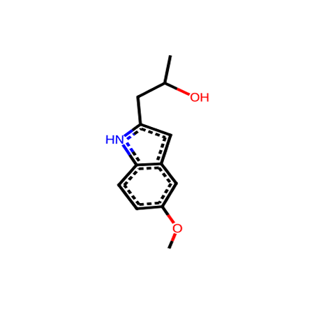 COc1ccc2[nH]c(CC(C)O)cc2c1